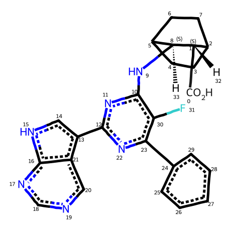 O=C(O)[C@H]1C2CCC(CC2)[C@@H]1Nc1nc(-c2c[nH]c3ncncc23)nc(-c2ccccc2)c1F